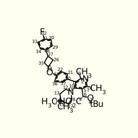 Cc1nc(C)c([C@H](OC(C)(C)C)C(=O)O)c(N2CCC(C)(C)CC2)c1-c1ccc(OC2CC(c3ccc(F)cc3)C2)cc1